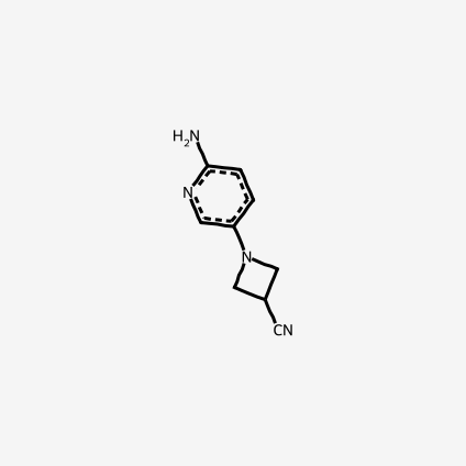 N#CC1CN(c2ccc(N)nc2)C1